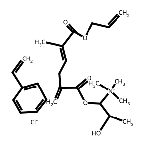 C=CCOC(=O)C(C)=CCC(=C)C(=O)OC(C(C)O)[N+](C)(C)C.C=Cc1ccccc1.[Cl-]